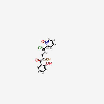 O=C(c1ccccc1O)C(S)CCC(Cl)c1cccc[n+]1[O-]